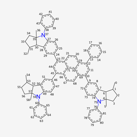 CC1CCC2(C)C1c1cc(-c3cc(-c4ccccc4)c4ccc5c(-c6ccc7c(c6)C6C(C)CCC6(C)N7c6ccccc6)cc(-c6ccc7c(c6)C6C(C)CCC6(C)N7c6ccccc6)c6ccc3c4c56)ccc1N2c1ccccc1